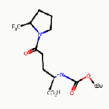 CC(C)(C)OC(=O)N[C@H](CCC(=O)N1CCCC1C(F)(F)F)C(=O)O